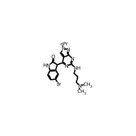 CCCn1cc2c(C3C(=O)Nc4ccc(Br)cc43)nc(NCCCN(C)C)nc2n1